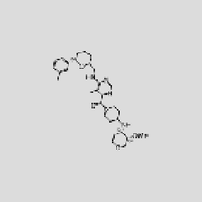 CO[C@@H]1COCC[C@@H]1NC1CCN(C(=O)c2ncnc(NCC3CCC[C@@H](c4cccc(C)c4)O3)c2C)CC1